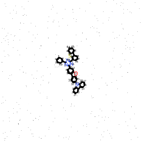 c1ccc(-c2nc(-c3ccc4c(c3)oc3cc(-n5c6ccccc6c6ccccc65)ccc34)nc(-c3cccc4c3sc3ccccc34)n2)cc1